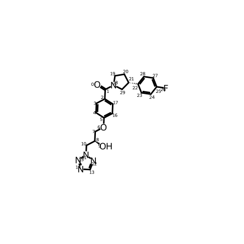 O=C(c1ccc(OC[C@@H](O)Cn2ncnn2)cc1)N1CC[C@H](c2ccc(F)cc2)C1